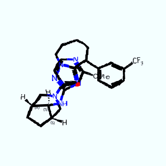 COc1cc(N2C[C@H]3CC[C@@H](C2)[C@@H]3Nc2nc3n(n2)CCCCC3c2cccc(C(F)(F)F)c2)ccn1